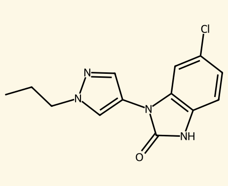 CCCn1cc(-n2c(=O)[nH]c3ccc(Cl)cc32)cn1